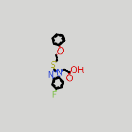 O=C(O)Cn1c(SCCOc2ccccc2)nc2cc(F)ccc21